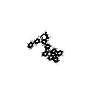 C=C1/C=C(/C)C[C@H](C)N(c2ccc(-c3ccccc3)cc2)c2ccc(-c3ccc4c(c3)c3ccccc3n4-c3ccc4c(c3)C(c3ccccc3)(c3ccccc3)c3ccccc3-4)cc21